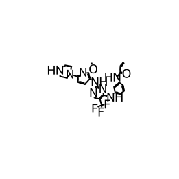 C=CC(=O)Nc1cccc(Nc2nc(Nc3ccc(N4CCNCC4)nc3OC)ncc2C(F)(F)F)c1